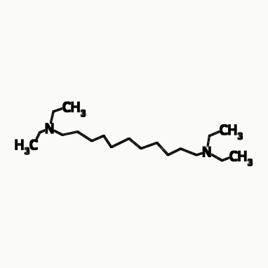 CCN(CC)CCCCCCCCCCCN(CC)CC